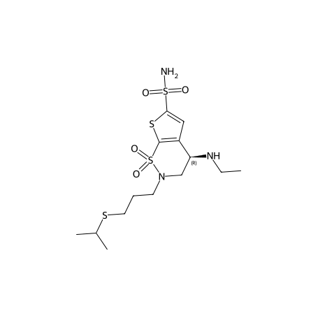 CCN[C@H]1CN(CCCSC(C)C)S(=O)(=O)c2sc(S(N)(=O)=O)cc21